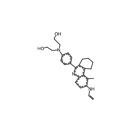 C=CNc1ccc2nc(-c3ccc(N(CCO)CCO)cc3)c3c(c2c1C)CCCC3